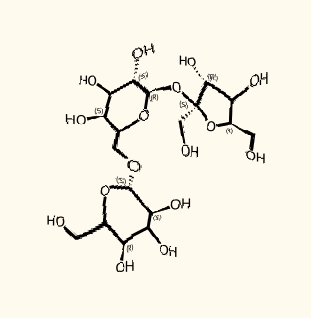 OCC1O[C@H](OCC2O[C@H](O[C@]3(CO)O[C@H](CO)C(O)[C@H]3O)[C@@H](O)C(O)[C@@H]2O)[C@@H](O)C(O)[C@H]1O